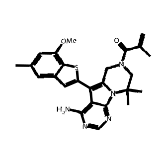 C=C(C)C(=O)N1Cc2c(-c3cc4cc(C)cc(OC)c4s3)c3c(N)ncnc3n2C(C)(C)C1